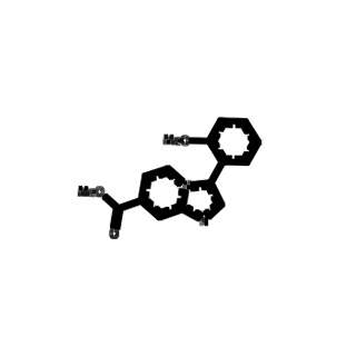 COC(=O)c1ccn2c(-c3ccccc3OC)cnc2c1